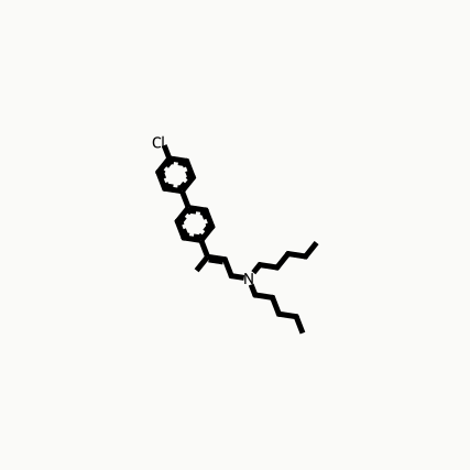 CCCCCN(CC=C(C)c1ccc(-c2ccc(Cl)cc2)cc1)CCCCC